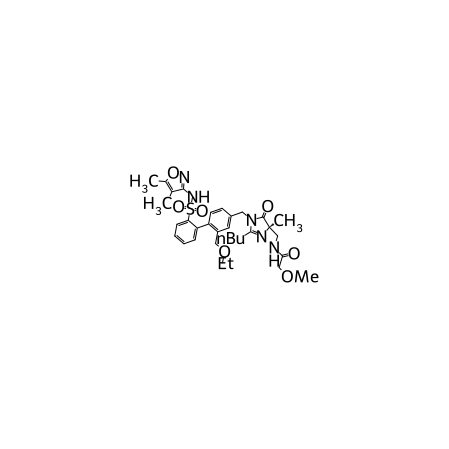 CCCCC1=N[C@@](C)(CNC(=O)COC)C(=O)N1Cc1ccc(-c2ccccc2S(=O)(=O)Nc2noc(C)c2C)c(COCC)c1